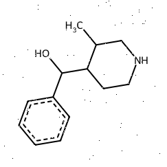 CC1CNCCC1C(O)c1ccccc1